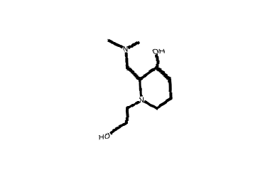 CN(C)CC1C(O)CCCN1CCO